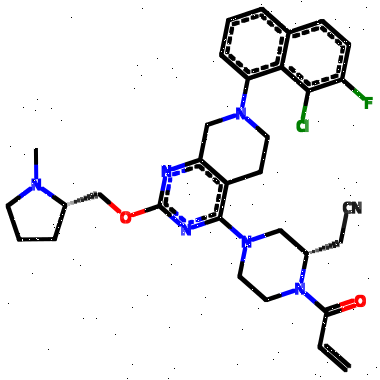 C=CC(=O)N1CCN(c2nc(OC[C@@H]3CCCN3C)nc3c2CCN(c2cccc4ccc(F)c(Cl)c24)C3)C[C@@H]1CC#N